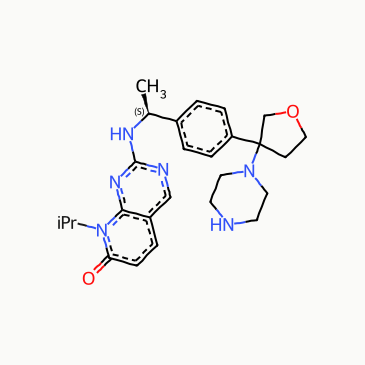 CC(C)n1c(=O)ccc2cnc(N[C@@H](C)c3ccc(C4(N5CCNCC5)CCOC4)cc3)nc21